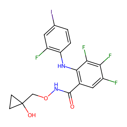 O=C(NOCC1(O)CC1)c1cc(F)c(F)c(F)c1Nc1ccc(I)cc1F